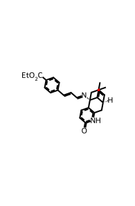 C/C=C1\[C@H]2C=C(C)C[C@]1(N=CC=Cc1ccc(C(=O)OCC)cc1)c1ccc(=O)[nH]c1C2